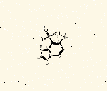 CP(C)(=O)c1c(N)ccn2ncnc12